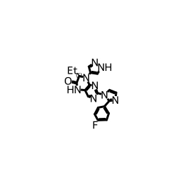 CC[C@H]1C(=O)Nc2cnc(-n3ccnc3-c3ccc(F)cc3)nc2N1c1cn[nH]c1